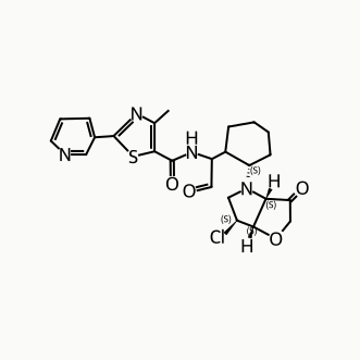 Cc1nc(-c2cccnc2)sc1C(=O)NC(C=O)C1CCCC[C@@H]1N1C[C@H](Cl)[C@H]2OCC(=O)[C@H]21